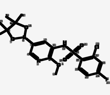 COc1ncc(B2OC(C)(C)C(C)(C)O2)cc1NS(=O)(=O)c1ccc(F)cc1Cl